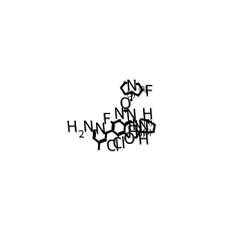 Cc1cc(N)nc(-c2c(Cl)c3c4c(nc(OC[C@@]56CCCN5C[C@H](F)C6)nc4c2F)N2C[C@H]4CC[C@H](N4)[C@H]2CO3)c1Cl